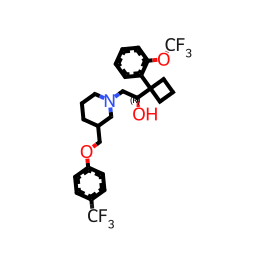 O[C@@H](CN1CCCC(COc2ccc(C(F)(F)F)cc2)C1)C1(c2ccccc2OC(F)(F)F)CCC1